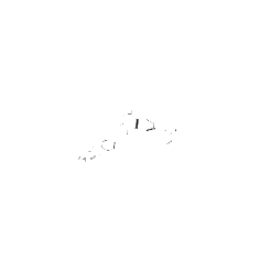 N#Cc1cccc(-c2ccc3c(c2)C(=CNCc2ccc(S(N)(=O)=O)cc2)C(=O)NC3=O)c1